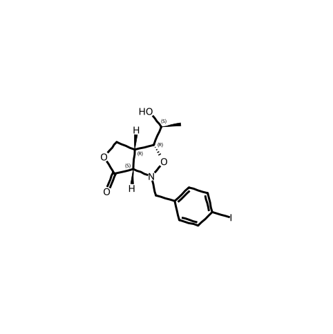 C[C@H](O)[C@@H]1ON(Cc2ccc(I)cc2)[C@@H]2C(=O)OC[C@H]12